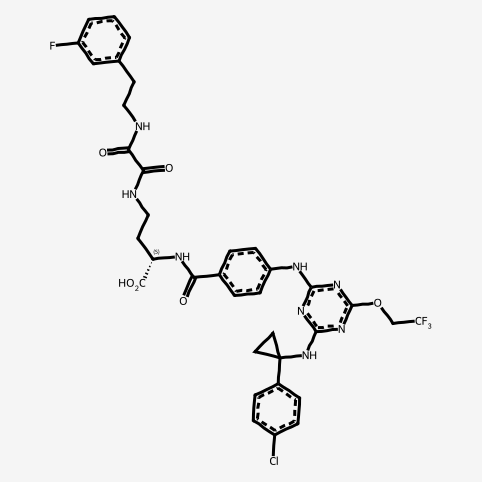 O=C(NCCc1cccc(F)c1)C(=O)NCC[C@H](NC(=O)c1ccc(Nc2nc(NC3(c4ccc(Cl)cc4)CC3)nc(OCC(F)(F)F)n2)cc1)C(=O)O